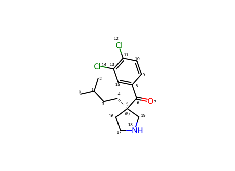 CC(C)CC[C@@]1(C(=O)c2ccc(Cl)c(Cl)c2)CCNC1